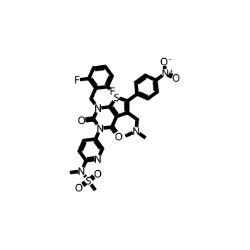 CN(C)Cc1c(-c2ccc([N+](=O)[O-])cc2)sc2c1c(=O)n(-c1ccc(N(C)S(C)(=O)=O)nc1)c(=O)n2Cc1c(F)cccc1F